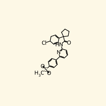 CS(=O)(=O)c1ccc(-c2cccc(NC(=O)C3(C4=CCC(Cl)C=C4)CCCC3)n2)cc1